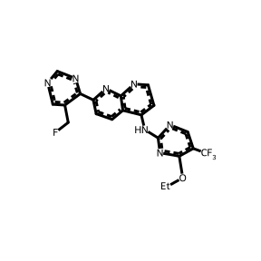 CCOc1nc(Nc2ccnc3nc(-c4ncncc4CF)ccc23)ncc1C(F)(F)F